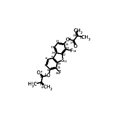 C=C(C)C(=O)Oc1ccc2c(sc3c(F)c(OC(=O)C(=C)C)ccc32)c1F